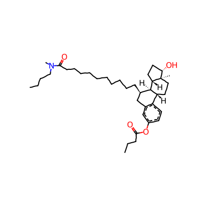 CCCCN(C)C(=O)CCCCCCCCCC[C@@H]1Cc2cc(OC(=O)CCC)ccc2[C@H]2CC[C@]3(C)[C@@H](O)CC[C@H]3[C@H]12